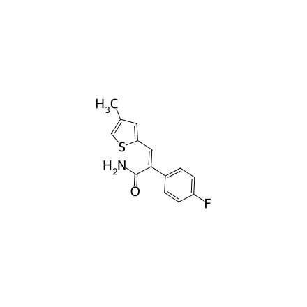 Cc1csc(C=C(C(N)=O)c2ccc(F)cc2)c1